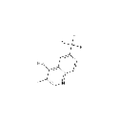 Cc1cnc2ccc(C(F)(F)F)cc2c1O